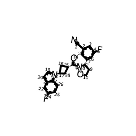 N#Cc1cc(F)cc([C@@H]2CCON2C(=O)[C@H]2C[C@H](n3ccc4cc(F)ccc43)C2)c1